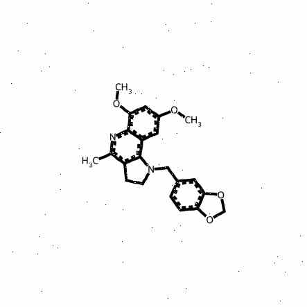 COc1cc(OC)c2nc(C)c3c(c2c1)N(Cc1ccc2c(c1)OCO2)CC3